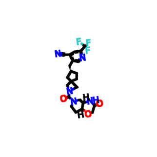 N#Cc1cc(C(F)(F)F)ncc1C[C@@H]1CCC2(C1)CN(C(=O)N1CC[C@@H]3OCC(=O)N[C@@H]3C1)C2